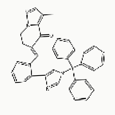 Cc1cnn2c1C(=O)C(=Cc1ccccc1-c1cn(C(c3ccccc3)(c3ccccc3)c3ccccc3)cn1)CC2